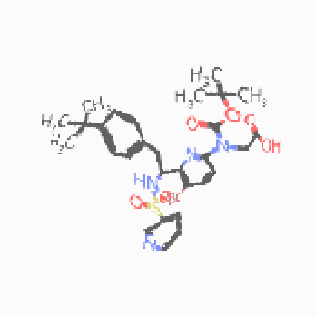 CC(C)(C)OC(=O)N(CC(=O)O)c1ccc(Br)c(C(Cc2ccc(C(C)(C)C)cc2)NS(=O)(=O)c2cccnc2)n1